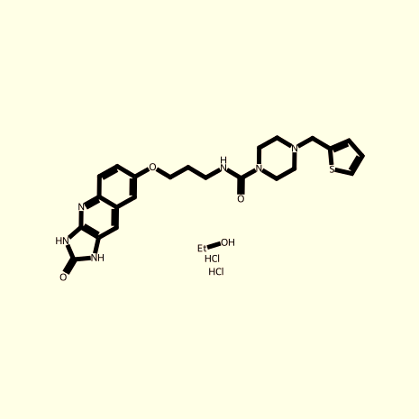 CCO.Cl.Cl.O=C(NCCCOc1ccc2nc3[nH]c(=O)[nH]c3cc2c1)N1CCN(Cc2cccs2)CC1